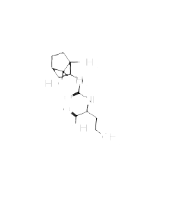 [CH2]CCC(NC(=O)OC1CC2CCC1(C)C2(C)C)C(=O)O